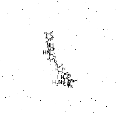 C[C@@H](N)[C@H](NC(=O)c1ccc(C#Cc2ccc(NC(=O)CNCc3ccccc3)cc2)cc1)C(=O)NO